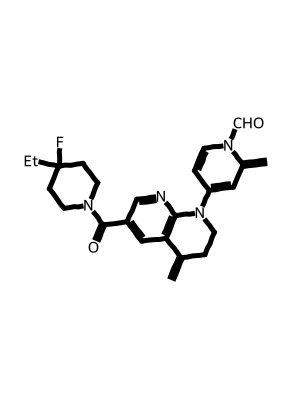 C=C1CCN(C2=CC(=C)N(C=O)C=C2)c2ncc(C(=O)N3CCC(F)(CC)CC3)cc21